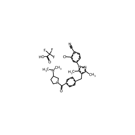 Cc1nn(-c2ccc(C#N)c(Cl)c2)c(C)c1Cc1ccc(C(=O)N2CCC(N(C)C)C2)cc1.O=C(O)C(F)(F)F